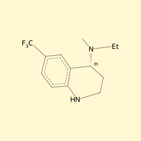 CCN(C)[C@@H]1CCNc2ccc(C(F)(F)F)cc21